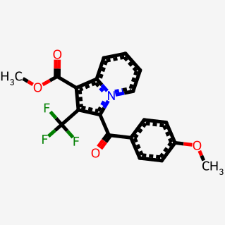 COC(=O)c1c(C(F)(F)F)c(C(=O)c2ccc(OC)cc2)n2ccccc12